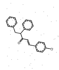 O=C(/C=C/c1ccc(Cl)cc1)C(Cc1ccccc1)c1ccccc1